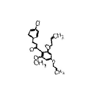 C=CCOc1cc(OC)c(C(=O)C=Cc2ccc(Cl)cc2)c(OCC=C)c1